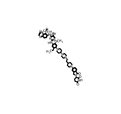 CCc1cc(Nc2ncc(Br)c(Nc3ccc4nccnc4c3P(C)(C)=O)n2)c(OC)cc1N1CCC(N2CCN(CCC3CCN(c4ccc5c(c4)CN(C4CCC(=O)NC4=O)C5=O)CC3)CC2)CC1